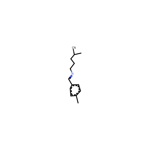 Cc1ccc(C=NCCCC(C)C#N)cc1